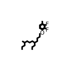 CCCC(C)CCCC(CCC)CCCCOc1ccc(C)c(F)c1F